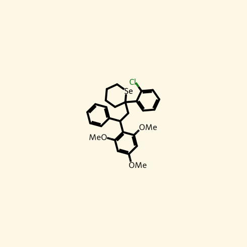 COc1cc(OC)c(C(CC2(c3ccccc3Cl)CCCC[Se]2)c2ccccc2)c(OC)c1